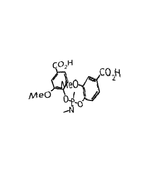 CN=P(C)(Oc1ccc(C(=O)O)cc1OC)Oc1ccc(C(=O)O)cc1OC